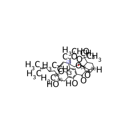 CC(C)=CCC[C@@]1(C)Oc2c(c(O)c3c(c2CC=C(C)C)O[C@]24C(=C[C@@H]5CC2C(C)(C)OC4(C/C=C(/C)OC=O)C5=O)C3=O)C[C@H]1O